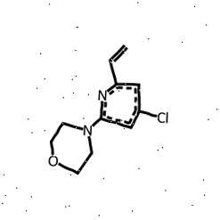 C=Cc1cc(Cl)cc(N2CCOCC2)n1